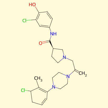 C=C(CN1CC[C@@H](C(=O)Nc2ccc(O)c(Cl)c2)C1)N1CCN(C2=C(C)C(Cl)CC=C2)CC1